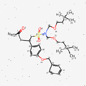 COC(=O)CC(CS(=O)(=O)N(COCC[Si](C)(C)C)COCC[Si](C)(C)C)c1ccc(OCc2ccccc2)cc1